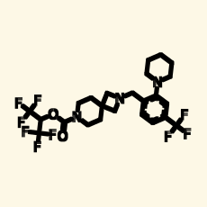 O=C(OC(C(F)(F)F)C(F)(F)F)N1CCC2(CC1)CN(Cc1ccc(C(F)(F)F)cc1N1CCCCC1)C2